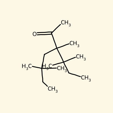 CCC(C)(C)CC(C)(C(C)=O)C(C)(C)CC